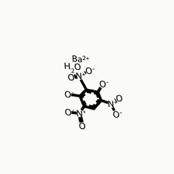 O.O=[N+]([O-])c1cc([N+](=O)[O-])c([O-])c([N+](=O)[O-])c1[O-].[Ba+2]